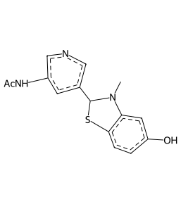 CC(=O)Nc1cncc(C2Sc3ccc(O)cc3N2C)c1